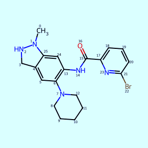 CN1NCc2cc(N3CCCCC3)c(NC(=O)c3cccc(Br)n3)cc21